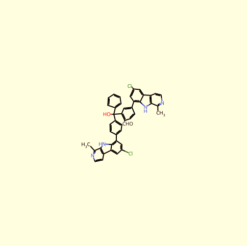 Cc1nccc2c1[nH]c1c(-c3ccc(C(O)(c4ccccc4)c4cc(-c5cc(Cl)cc6c5[nH]c5c(C)nccc56)ccc4C=O)cc3)cc(Cl)cc12